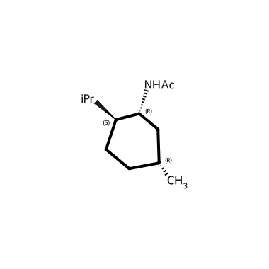 CC(=O)N[C@@H]1C[C@H](C)CC[C@H]1C(C)C